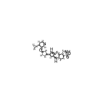 O=S1(=O)NCc2c1ccc(Nc1cc([C@H]3CC[C@@H](Oc4cnccc4C4CC4)C3)[nH]n1)c2F